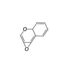 C1=CC2=C3OC3=COC2C=C1